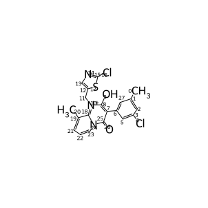 Cc1cc(Cl)cc(-c2c(O)[n+](Cc3cnc(Cl)s3)c3c(C)cccn3c2=O)c1